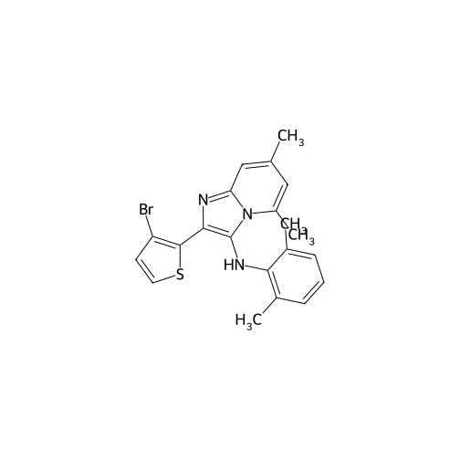 Cc1cc(C)n2c(Nc3c(C)cccc3C)c(-c3sccc3Br)nc2c1